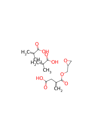 C=C(C)C(=O)O.C=C(C)C(=O)O.C=C(CC(=O)O)C(=O)OCC1CO1